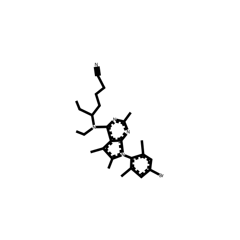 CCC(CCCC#N)N(CC)c1nc(C)nc2c1c(C)c(C)n2-c1c(C)cc(Br)cc1C